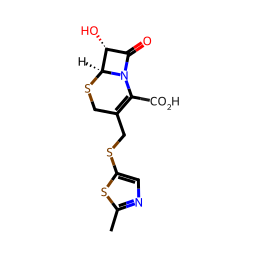 Cc1ncc(SCC2=C(C(=O)O)N3C(=O)[C@@H](O)[C@@H]3SC2)s1